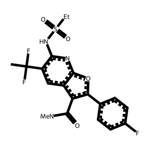 CCS(=O)(=O)Nc1nc2oc(-c3ccc(F)cc3)c(C(=O)NC)c2cc1C(C)(F)F